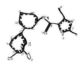 Cc1nc(C)c(C(=O)Nc2cccc(-c3ccc(Cl)c(Cl)c3)c2)s1